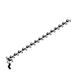 CCCOS(=S)(=S)SSSSSSSSSSSSSSSSSSSSSSSSSSSSS